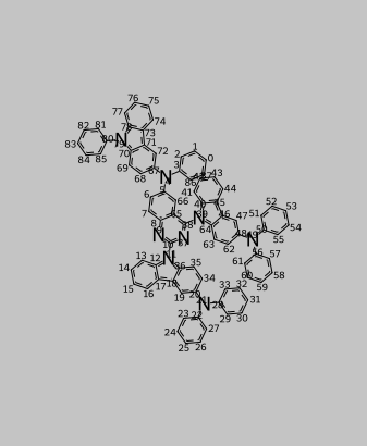 c1ccc(N(c2ccc3nc(-n4c5ccccc5c5cc(N(c6ccccc6)c6ccccc6)ccc54)nc(-n4c5ccccc5c5cc(N(c6ccccc6)c6ccccc6)ccc54)c3c2)c2ccc3c(c2)c2ccccc2n3-c2ccccc2)cc1